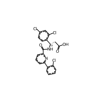 O=C(O)C[C@H](NC(=O)c1cccc(-c2ccccc2Cl)n1)c1ccc(Cl)cc1Cl